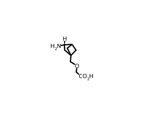 N[C@H]1CC2(COCC(=O)O)CC1C2